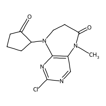 CN1C(=O)CCN(C2CCCC2=O)c2nc(Cl)ncc21